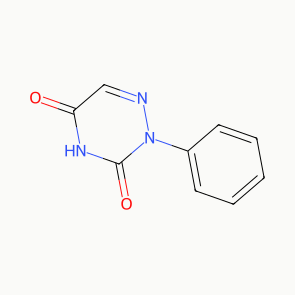 O=c1cnn(-c2ccccc2)c(=O)[nH]1